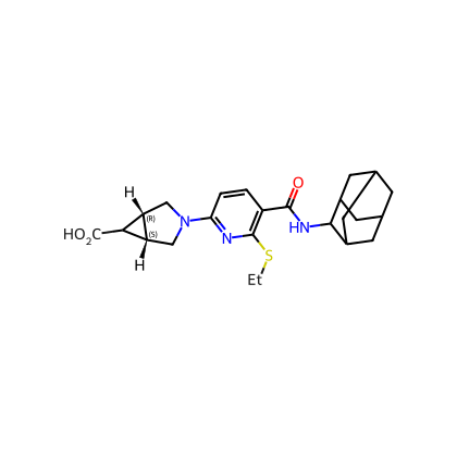 CCSc1nc(N2C[C@@H]3C(C(=O)O)[C@@H]3C2)ccc1C(=O)NC1C2CC3CC(C2)CC1C3